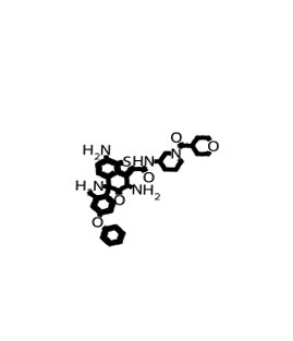 Cc1cc(Oc2ccccc2)ccc1C1(N)C(=O)C(N)c2c(C(=O)NC3CCCN(C(=O)C4CCOCC4)C3)sc3c(N)ccc1c23